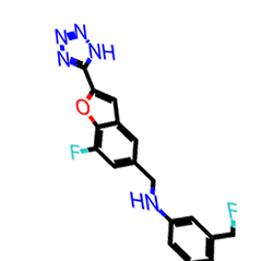 Oc1ccc(NCc2cc(F)c3oc(-c4nnn[nH]4)cc3c2)cc1CF